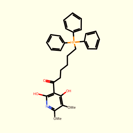 COc1nc(O)c(C(=O)CCCCC[PH](c2ccccc2)(c2ccccc2)c2ccccc2)c(O)c1OC